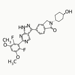 COc1cc(OC)c(F)c(-c2ncc3c(-c4ccc5c(c4)CN([C@H]4CC[C@H](O)CC4)C5=O)n[nH]c3n2)c1F